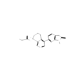 CCC(=O)N[C@@H]1CCCc2c(-c3ccc4c(c3)N(C)C(=O)C4)cncc21